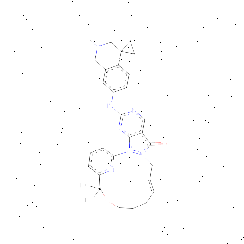 CN1Cc2cc(Nc3ncc4c(=O)n5n(c4n3)-c3cccc(n3)C(C)(C)OCCC/C=C/C5)ccc2C2(CC2)C1